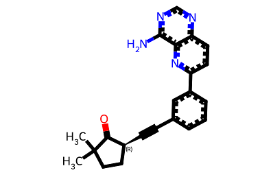 CC1(C)CC[C@H](C#Cc2cccc(-c3ccc4ncnc(N)c4n3)c2)C1=O